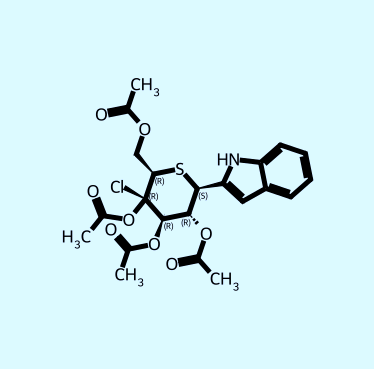 CC(=O)OC[C@H]1S[C@@H](c2cc3ccccc3[nH]2)[C@H](OC(C)=O)[C@@H](OC(C)=O)[C@]1(Cl)OC(C)=O